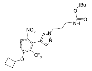 CC(C)(C)OC(=O)NCCCn1cc(-c2c([N+](=O)[O-])ccc(OC3CCC3)c2C(F)(F)F)cn1